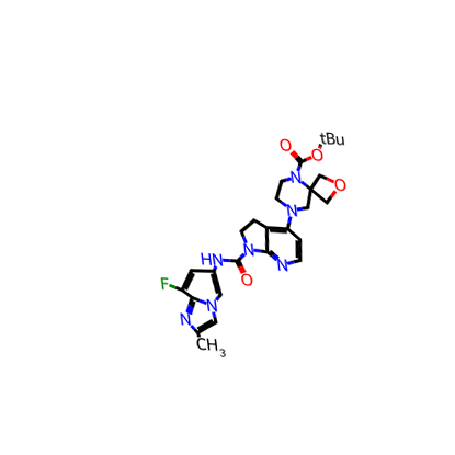 Cc1cn2cc(NC(=O)N3CCc4c(N5CCN(C(=O)OC(C)(C)C)C6(COC6)C5)ccnc43)cc(F)c2n1